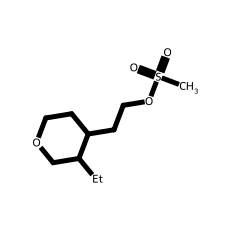 CCC1COCCC1CCOS(C)(=O)=O